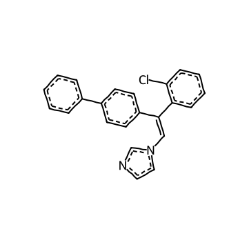 Clc1ccccc1C(=Cn1ccnc1)c1ccc(-c2ccccc2)cc1